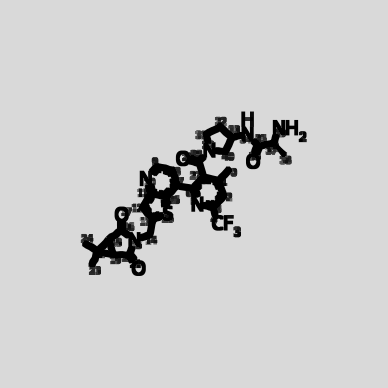 Cc1cc(C(F)(F)F)nc(-c2ccnc3cc(CN4C(=O)C5C(C4=O)C5(C)C)sc23)c1C(=O)N1CCC(NC(=O)[C@H](C)N)C1